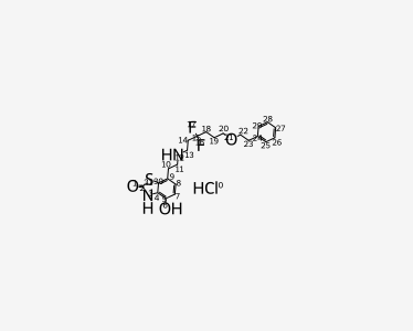 Cl.O=c1[nH]c2c(O)ccc(CCNCCC(F)(F)CCCOCCc3ccccc3)c2s1